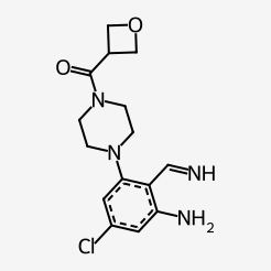 N=Cc1c(N)cc(Cl)cc1N1CCN(C(=O)C2COC2)CC1